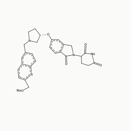 COCc1ccc2cc(CN3CC[C@H](Oc4ccc5c(c4)CN(C4CCC(=O)NC4=O)C5=O)C3)ccc2n1